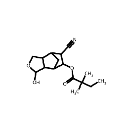 CCC(C)(C)C(=O)OC1C(C#N)C2CC1C1C(O)OCC21